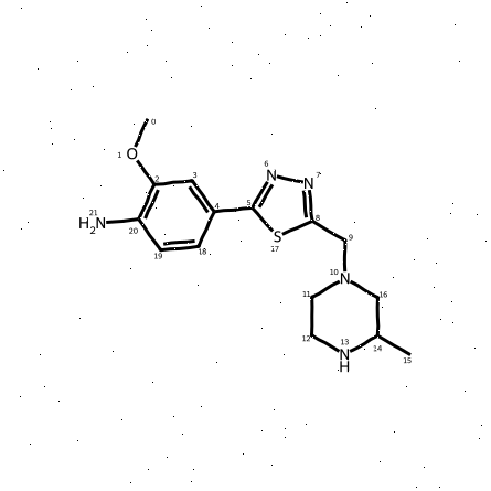 COc1cc(-c2nnc(CN3CCNC(C)C3)s2)ccc1N